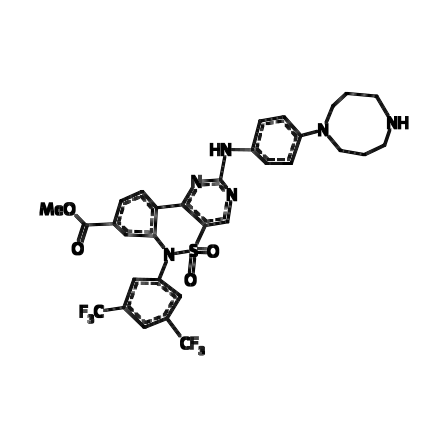 COC(=O)c1ccc2c(c1)N(c1cc(C(F)(F)F)cc(C(F)(F)F)c1)S(=O)(=O)c1cnc(Nc3ccc(N4CCCNCCC4)cc3)nc1-2